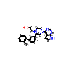 CC(C)c1[c]cccc1-c1cccc(C2CN(c3ncnc4[nH]ccc34)CCN2CCO)c1